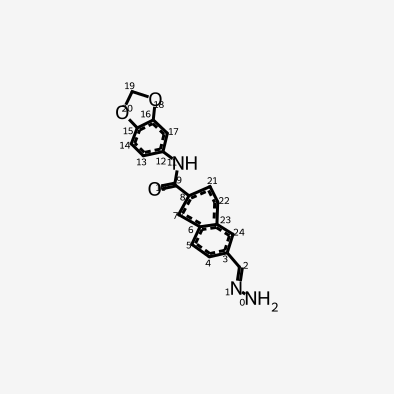 NN=Cc1ccc2cc(C(=O)Nc3ccc4c(c3)OCO4)ccc2c1